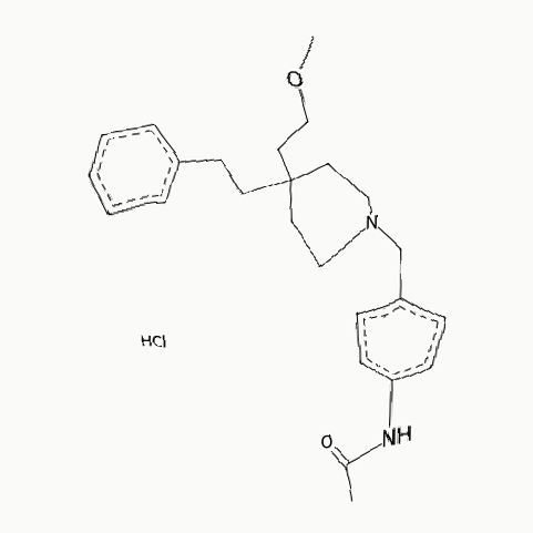 COCCC1(CCc2ccccc2)CCN(Cc2ccc(NC(C)=O)cc2)CC1.Cl